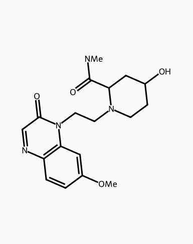 CNC(=O)C1CC(O)CCN1CCn1c(=O)cnc2ccc(OC)cc21